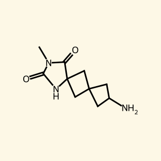 CN1C(=O)NC2(CC3(CC(N)C3)C2)C1=O